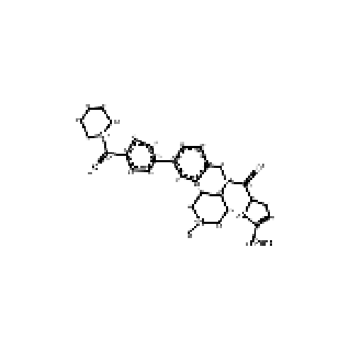 CCCCCC1=CCC(C(=O)N(Cc2ccc(-c3ccc(C(=O)N4CCCCC4)cc3)cc2)C2CCN(C)CC2)S1